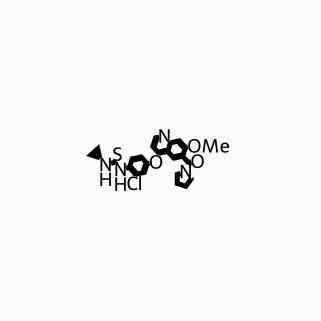 COc1cc2nccc(Oc3ccc(NC(=S)NC4CC4)c(Cl)c3)c2cc1C(=O)N1CCCC1